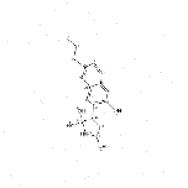 C[CH]Cc1ccc2cc(O)c(N3CC(O)NS3(O)O)cc2c1